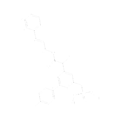 CCOP(=O)(Cc1cc(-c2ccc(Cl)cc2)cc(C(C)C(=O)OC/C=C/c2ccccc2)c1)OCC